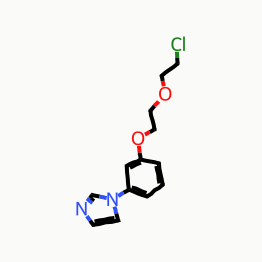 ClCCOCCOc1cccc(-n2ccnc2)c1